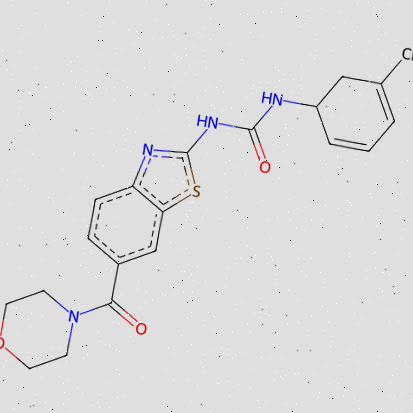 N#CC1=CC=CC(NC(=O)Nc2nc3ccc(C(=O)N4CCOCC4)cc3s2)C1